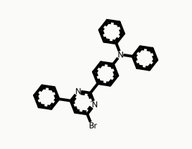 Brc1cc(-c2ccccc2)nc(-c2ccc(N(c3ccccc3)c3ccccc3)cc2)n1